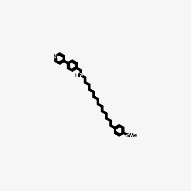 CSc1ccc(CCCCCCCCCCCCCCNCc2ccc(-c3ccncc3)cc2)cc1